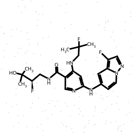 CC(C)(F)CNc1cc(Nc2ccn3ncc(F)c3c2)ncc1C(=O)NC[C@@H](F)C(C)(C)O